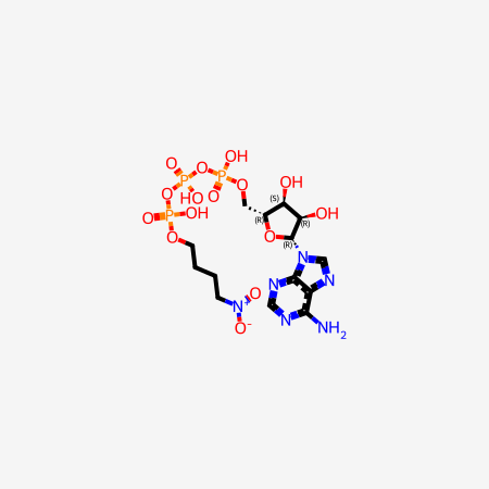 Nc1ncnc2c1ncn2[C@@H]1O[C@H](COP(=O)(O)OP(=O)(O)OP(=O)(O)OCCCC[N+](=O)[O-])[C@@H](O)[C@H]1O